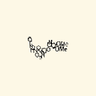 COc1cc2nccc(Oc3ccc(NC(=O)NC4CCN(Cc5ccccc5)CC4)c([N+](=O)[O-])c3)c2cc1OC